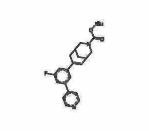 CC(C)(C)OC(=O)N1CC2C=C(c3cc(F)cc(-c4ccncc4)c3)CC(C2)C1